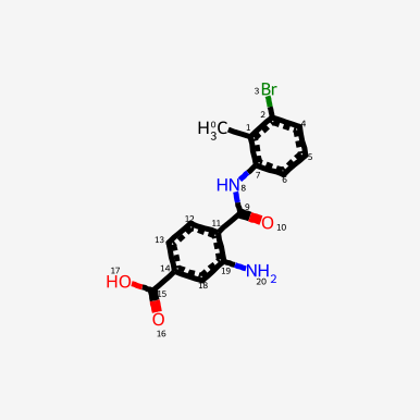 Cc1c(Br)cccc1NC(=O)c1ccc(C(=O)O)cc1N